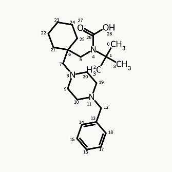 CC(C)(C)N(CC1(CN2CCN(Cc3ccccc3)CC2)CCCCC1)C(=O)O